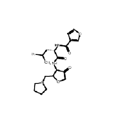 CC(C)C(C)C[C@H](NC(=O)c1ccoc1)C(=O)NC1C(=O)COC1CN1CCCC1